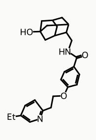 CCc1ccc(CCOc2ccc(C(=O)NCC3C4CC5CC3CC(O)(C5)C4)cc2)nc1